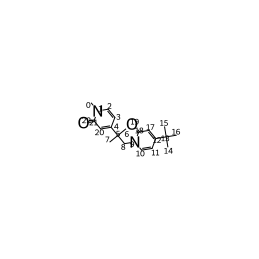 Cn1ccc(C(C)(C)Cn2ccc(C(C)(C)C)cc2=O)cc1=O